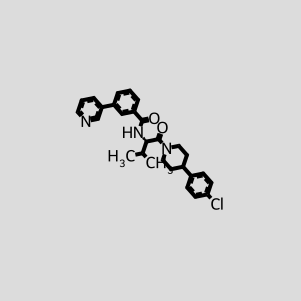 CC(C)[C@@H](NC(=O)c1cccc(-c2cccnc2)c1)C(=O)N1CCC(c2ccc(Cl)cc2)CC1